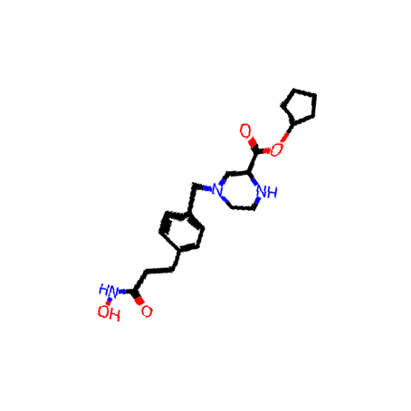 O=C(CCc1ccc(CN2CCNC(C(=O)OC3CCCC3)C2)cc1)NO